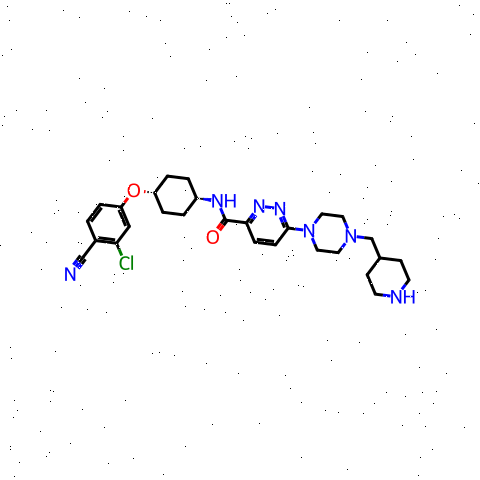 N#Cc1ccc(O[C@H]2CC[C@H](NC(=O)c3ccc(N4CCN(CC5CCNCC5)CC4)nn3)CC2)cc1Cl